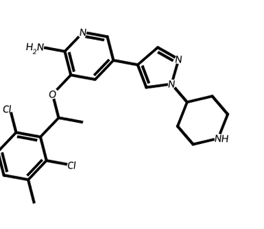 Cc1ccc(Cl)c(C(C)Oc2cc(-c3cnn(C4CCNCC4)c3)cnc2N)c1Cl